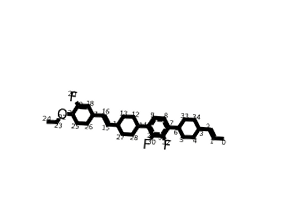 C/C=C/C1CCC(c2ccc(C3CCC(/C=C/C4C=C(F)C(OCC)CC4)CC3)c(F)c2F)CC1